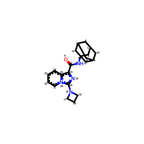 O=C(NC12CC3CC(CC(C3)C1)C2)c1nc(N2CCC2)n2ccccc12